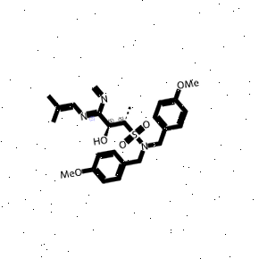 C=N/C(=N\C=C(C)C)[C@H](O)[C@H](C)S(=O)(=O)N(Cc1ccc(OC)cc1)Cc1ccc(OC)cc1